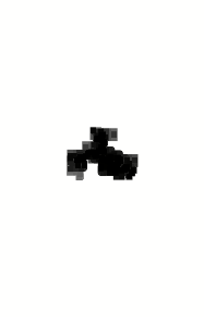 CC(=O)NCCC(=O)N[C@@H](Cc1cnc[nH]1)C(=O)N[C@@H](CO)C(=O)N[C@@H](Cc1cnc[nH]1)C(=O)O